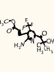 COC(=O)C=Cc1c(C(F)(F)F)cc(C(=O)C(C)(C)C)nc1N